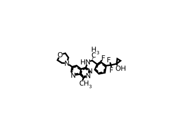 Cc1nnc(N[C@H](C)c2cccc(C(F)(F)C3(O)CC3)c2F)c2cc(N3CCOCC3)cnc12